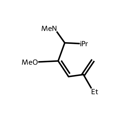 C=C(/C=C(/OC)C(NC)C(C)C)CC